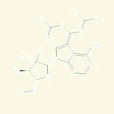 CC(C)OC(OC(C)C)c1cn([C@@H]2O[C@H](CO)[C@@H](O)[C@@]2(C)O)c2ncnc(N)c12